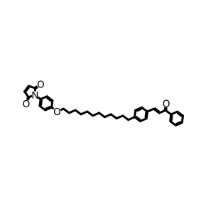 O=C(C=Cc1ccc(CCCCCCCCCCCCOc2ccc(N3C(=O)C=CC3=O)cc2)cc1)c1ccccc1